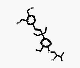 CCc1cc(C(/C=C/c2ccc(CO)c(CO)c2)(CC)CC)ccc1OCC(O)C(C)C